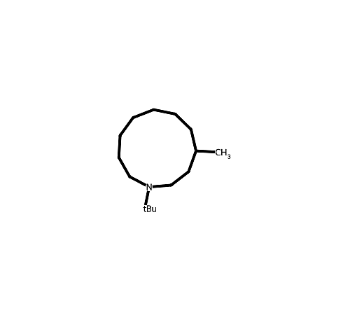 CC1CCCCCCCN(C(C)(C)C)CC1